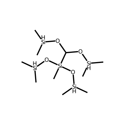 C[SiH](C)OC(O[SiH](C)C)[Si](C)(O[SiH](C)C)O[SiH](C)C